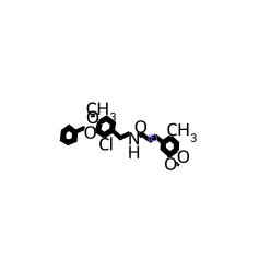 COc1ccc(CCNC(=O)/C=C/c2cc3c(cc2C)OCO3)c(Cl)c1OCc1ccccc1